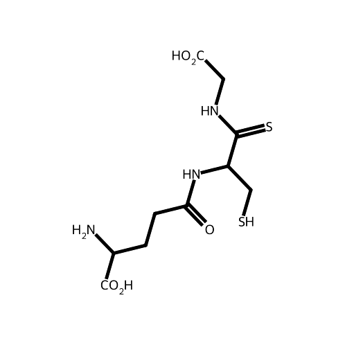 NC(CCC(=O)NC(CS)C(=S)NCC(=O)O)C(=O)O